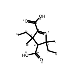 CCC1(C)N=C(C(=O)O)C(C)(CC)C1C(=O)O